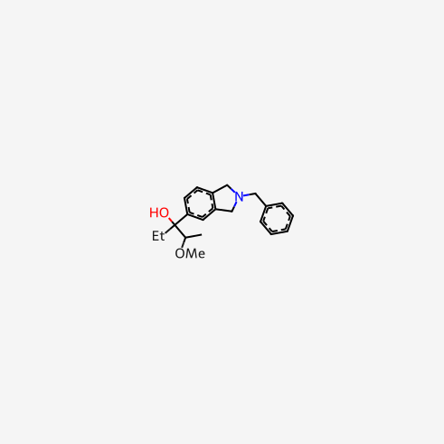 CCC(O)(c1ccc2c(c1)CN(Cc1ccccc1)C2)C(C)OC